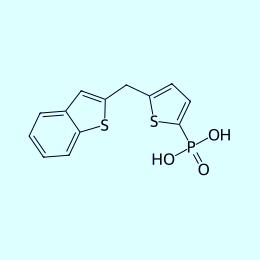 O=P(O)(O)c1ccc(Cc2cc3ccccc3s2)s1